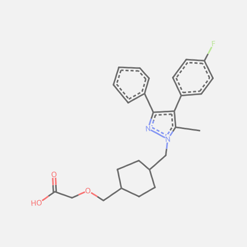 Cc1c(-c2ccc(F)cc2)c(-c2ccccc2)nn1CC1CCC(COCC(=O)O)CC1